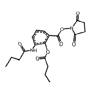 CCCC(=O)Nc1cccc(C(=O)ON2C(=O)CCC2=O)c1OC(=O)CCC